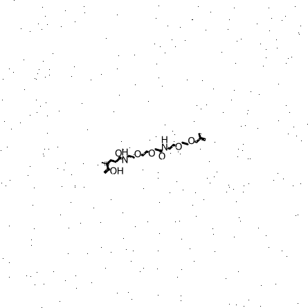 C=C(C)COCCOCCNC(=O)COCCOCCNC(=O)CC[C@H](C)C(=C)O